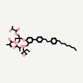 C=C(C)C(=O)OCC(COC(=O)C(C)=O)(COC(=O)C(C)=O)COc1ccc(-c2ccc(CCc3ccc(CCCCCCCC)cc3)cc2)cc1COCC1(CC)COC1